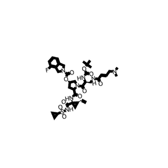 C=C[C@@H]1C[C@]1(NC(=O)C1C[C@@H](OC(=O)N2Cc3cccc(F)c3C2)CN1C(=O)[C@H](CNC(=O)/C=C/CN(C)C)NC(=O)OC(C)(C)C)C(=O)NS(=O)(=O)C1CC1